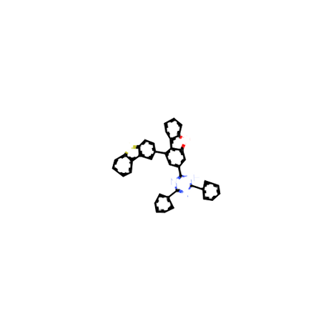 c1ccc(C2=NC(c3ccccc3)NC(c3cc(-c4ccc5sc6ccccc6c5c4)c4c(c3)oc3ccccc34)=N2)cc1